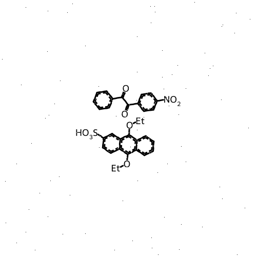 CCOc1c2ccccc2c(OCC)c2cc(S(=O)(=O)O)ccc12.O=C(C(=O)c1ccc([N+](=O)[O-])cc1)c1ccccc1